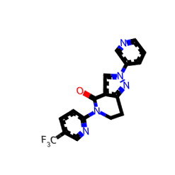 O=C1c2cn(-c3cccnc3)nc2CCN1c1ccc(C(F)(F)F)cn1